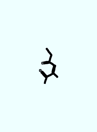 CCC(=O)C=C(C)C(C)=O